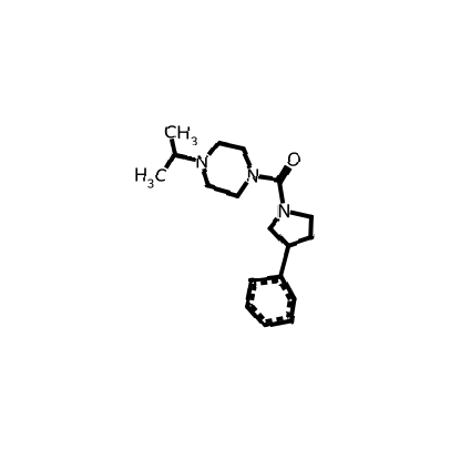 CC(C)N1CCN(C(=O)N2CCC(c3ccccc3)C2)CC1